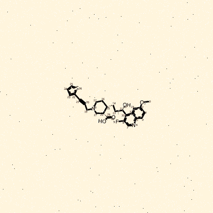 COc1ccc2ncc(F)c([C@@H](O)CC[C@H]3CCN(CC#Cc4cccs4)C[C@H]3C(=O)O)c2c1